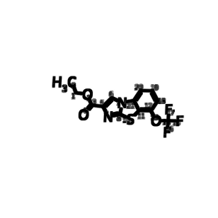 CCOC(=O)c1cn2c(n1)sc1c(OC(F)(F)F)cccc12